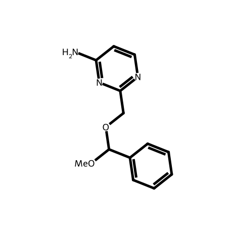 COC(OCc1nccc(N)n1)c1ccccc1